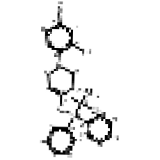 CC(C)(C)[Si](OC1=CCN(c2ccc(Br)cc2F)CC1)(c1ccccc1)c1ccccc1